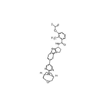 Cc1c(OC(F)F)cccc1C(=O)N[C@@H]1CCn2c1nc1ccc(-c3cnc(N4[C@@H]5CC[C@H]4COC5)nc3)cc12